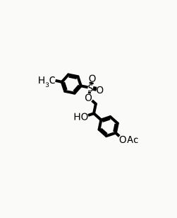 CC(=O)Oc1ccc(C(O)COS(=O)(=O)c2ccc(C)cc2)cc1